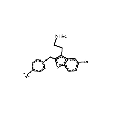 CC(=O)NCCc1c(Cc2ccc(C(F)(F)F)cc2)sc2ccc(O)cc12